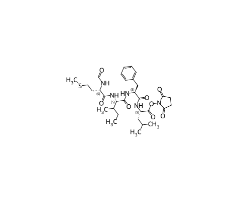 CCC(C)[C@H](NC(=O)[C@H](CCSC)NC=O)C(=O)N[C@@H](Cc1ccccc1)C(=O)N[C@@H](CC(C)C)C(=O)ON1C(=O)CCC1=O